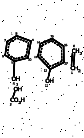 C=C.O=C(O)O.Oc1ccccc1.Oc1ccccc1